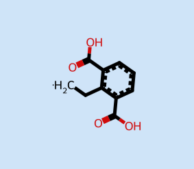 [CH2]Cc1c(C(=O)O)cccc1C(=O)O